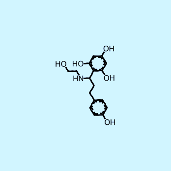 OCCNC(CCc1ccc(O)cc1)c1c(O)cc(O)cc1O